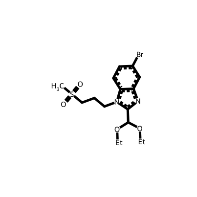 CCOC(OCC)c1nc2cc(Br)ccc2n1CCCS(C)(=O)=O